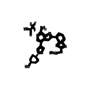 COCc1nc2cccc(-c3cc4c(-c5cnn([C@H]6CC[C@H](O)CC6)c5)cnc(N)c4o3)c2s1.O=C(O)C(F)(F)F